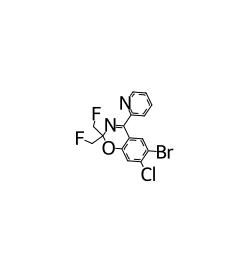 FCC1(CF)N=C(c2ccccn2)c2cc(Br)c(Cl)cc2O1